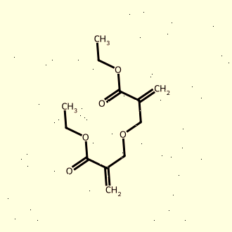 C=C(COCC(=C)C(=O)OCC)C(=O)OCC